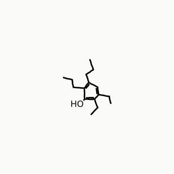 CCCc1cc(CC)c(CC)c(O)c1CCC